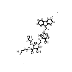 C=CCOC(=O)N(C(=N)NCCC[C@H](NC(=O)OCC1c2ccccc2-c2ccccc21)C(=O)O)C(=O)OCC=C